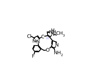 CCN/C1=C(\C=N)Cc2cc(Cl)nn2-c2ccc(F)cc2COc2cc1cnc2N